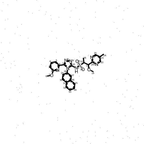 COc1cccc(-c2nnc(NS(=O)(=O)C(C)C(OC)c3ncc(C)cn3)n2-c2ccc3ccccc3c2)n1